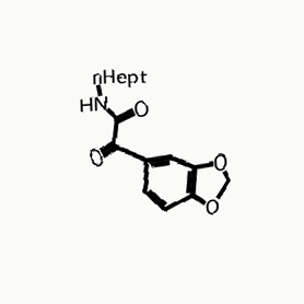 CCCCCCCNC(=O)C(=O)c1ccc2c(c1)OCO2